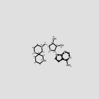 Nc1ncnc2c1ccn2[C@@H]1O[C@H](CN2CCOC3(CCCNC3)C2)[C@@H](O)[C@H]1O